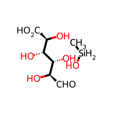 C[SiH2]O.O=C[C@@H](O)[C@@H](O)[C@H](O)[C@H](O)C(=O)O